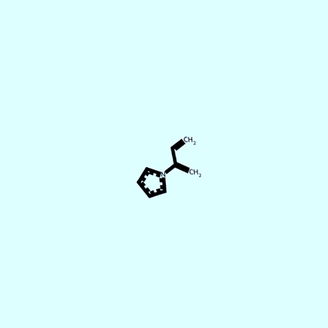 C=CC(=C)n1cccc1